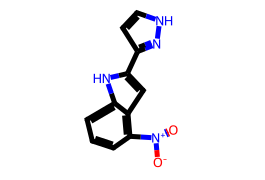 O=[N+]([O-])c1cccc2[nH]c(-c3cc[nH]n3)cc12